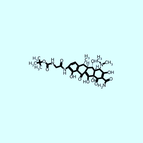 C[C@H]1c2ccc(NC(=O)CNC(=O)OC(C)(C)C)c(O)c2C(=O)C2=C(O)[C@]3(O)C(=O)C(C(N)=O)=C(O)[C@@H](N(C)C)[C@@H]3[C@@H](O)[C@@H]21